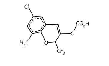 Cc1cc(Cl)cc2c1OC(C(F)(F)F)C(OC(=O)O)=C2